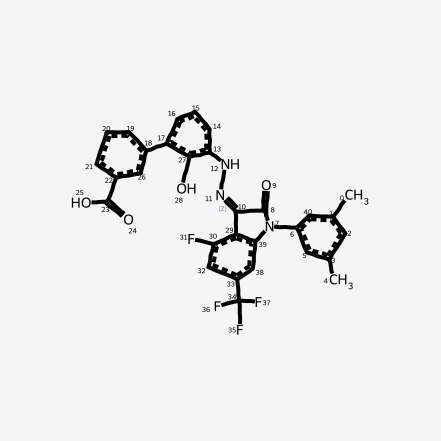 Cc1cc(C)cc(N2C(=O)/C(=N\Nc3cccc(-c4cccc(C(=O)O)c4)c3O)c3c(F)cc(C(F)(F)F)cc32)c1